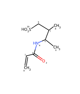 C=CC(=O)NC(C)C(C)CS(=O)(=O)O